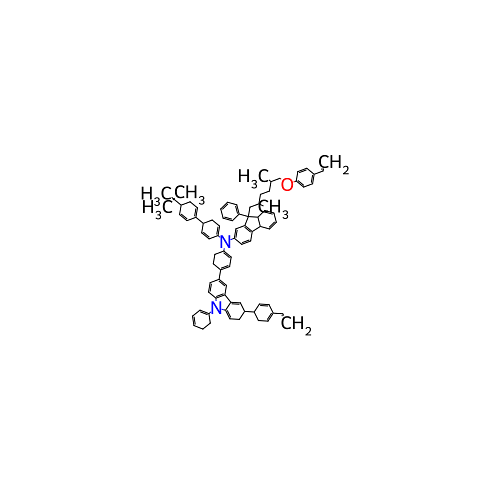 C=CC1=CCC(C2C=c3c(n(C4=CC=CCC4)c4ccc(C5=CC=C(N(C6=CCC(C7=CCC(C(C)(C)C)C=C7)C=C6)c6ccc7c(c6)C(CC(C)CCC(C)COc6ccc(C=C)cc6)(c6ccccc6)C6C=CC=CC76)CC5)cc34)=CC2)C=C1